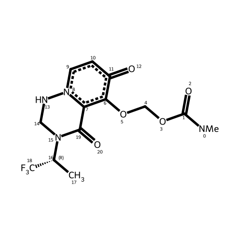 CNC(=O)OCOc1c2n(ccc1=O)NCN([C@H](C)C(F)(F)F)C2=O